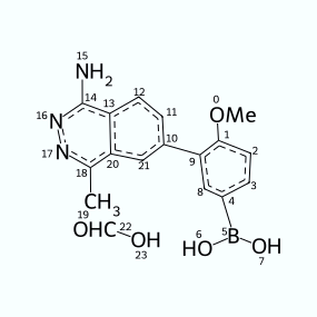 COc1ccc(B(O)O)cc1-c1ccc2c(N)nnc(C)c2c1.O=CO